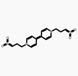 O=S(=O)=CCCN1C=CC(=C2C=CN(CCC=S(=O)=O)C=C2)C=C1